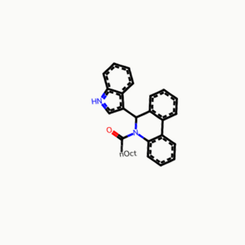 CCCCCCCCC(=O)N1c2ccccc2-c2ccccc2C1c1c[nH]c2ccccc12